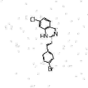 Clc1ccc2c(c1)NC(C=Cc1ccc(Br)cc1)=N[CH]2